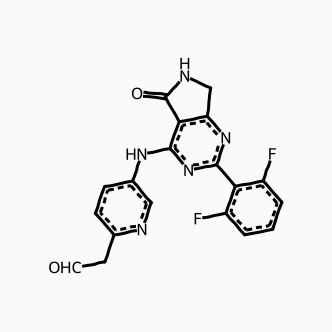 O=CCc1ccc(Nc2nc(-c3c(F)cccc3F)nc3c2C(=O)NC3)cn1